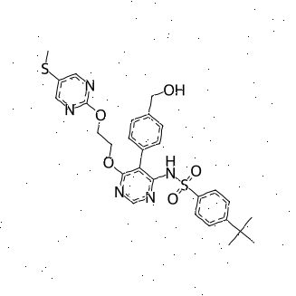 CSc1cnc(OCCOc2ncnc(NS(=O)(=O)c3ccc(C(C)(C)C)cc3)c2-c2ccc(CO)cc2)nc1